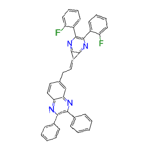 Fc1ccccc1-c1nc2c(nc1-c1ccccc1F)C2=CCc1ccc2nc(-c3ccccc3)c(-c3ccccc3)nc2c1